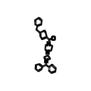 O=C(c1ccc(Cc2ccccc2)cc1)N1CCN(C2CN(C(c3ccccc3)c3ccccc3)C2)CC1